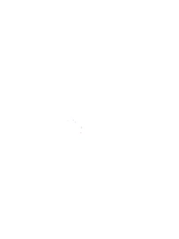 CCCCOC(=O)N1CCC[C@H]1C(=O)O